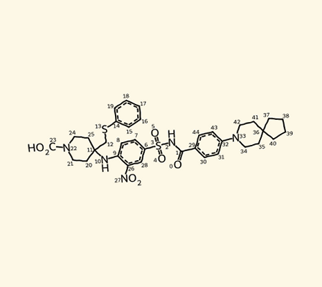 O=C(NS(=O)(=O)c1ccc(NC2(CSc3ccccc3)CCN(C(=O)O)CC2)c([N+](=O)[O-])c1)c1ccc(N2CCC3(CCCC3)CC2)cc1